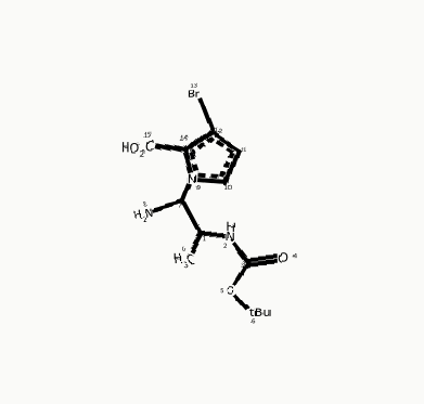 CC(NC(=O)OC(C)(C)C)C(N)n1ccc(Br)c1C(=O)O